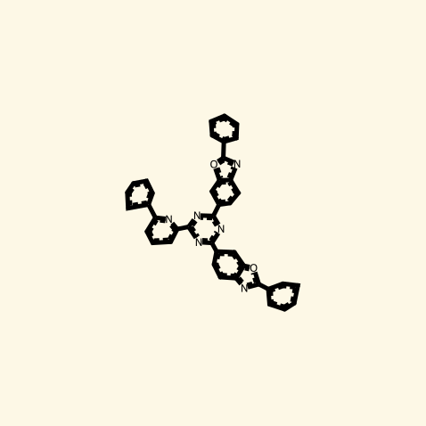 c1ccc(-c2cccc(-c3nc(-c4ccc5nc(-c6ccccc6)oc5c4)nc(-c4ccc5nc(-c6ccccc6)oc5c4)n3)n2)cc1